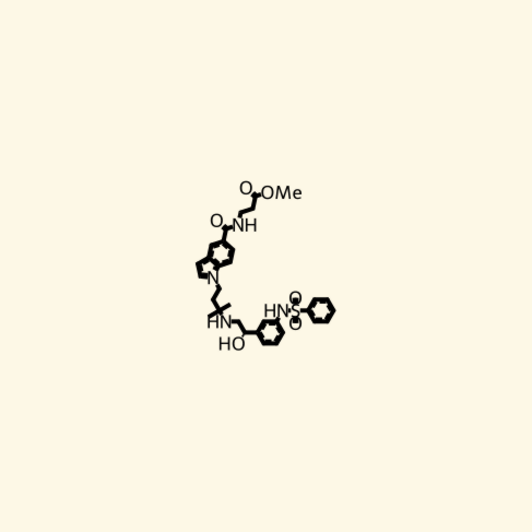 COC(=O)CCNC(=O)c1ccc2c(ccn2CCC(C)(C)NC[C@@H](O)c2cccc(NS(=O)(=O)c3ccccc3)c2)c1